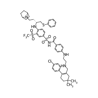 CC1(C)CCC(c2ccc(Cl)cc2)=C(CNCCNc2ccc(C(=O)NS(=O)(=O)c3ccc(N[C@H](CCN4C5CCC4CC5)CSc4ccccc4)c(S(=O)(=O)C(F)(F)F)c3)cc2)C1